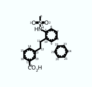 CS(=O)(=O)Nc1ccccc1CCc1cccc(C(=O)O)c1.c1ccccc1